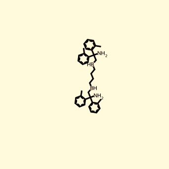 Cc1ccccc1C(N)(CBCCCCBCC(N)(c1ccccc1C)c1ccccc1C)c1ccccc1C